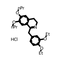 CCCOc1cc2c(cc1OCCC)C(Cc1ccc(OCC)c(OCC)c1)=NCC2.Cl